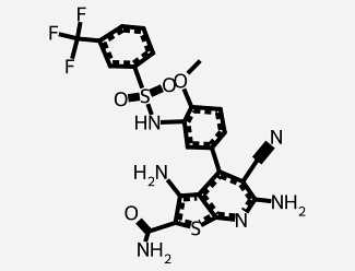 COc1ccc(-c2c(C#N)c(N)nc3sc(C(N)=O)c(N)c23)cc1NS(=O)(=O)c1cccc(C(F)(F)F)c1